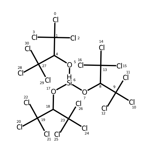 ClC(Cl)(Cl)C(O[SiH](OC(C(Cl)(Cl)Cl)C(Cl)(Cl)Cl)OC(C(Cl)(Cl)Cl)C(Cl)(Cl)Cl)C(Cl)(Cl)Cl